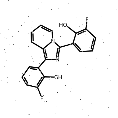 Oc1c(F)cccc1-c1nc(-c2cccc(F)c2O)n2ccccc12